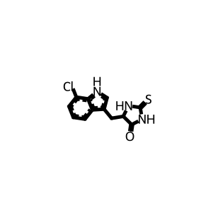 O=C1NC(=S)NC1Cc1c[nH]c2c(Cl)cccc12